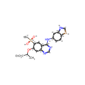 CCOC(=O)C(C)Oc1cc2ncnc(Nc3ccc4scnc4c3)c2cc1S(=O)(=O)C(C)(C)C